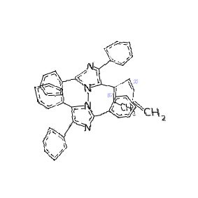 C=C/C=C\C(=C/C)c1c(-c2ccccc2)nc(-c2ccccc2)n1-n1c(-c2ccccc2)nc(-c2ccccc2)c1-c1ccccc1